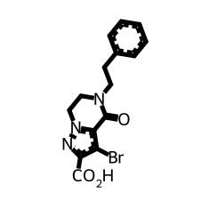 O=C(O)c1nn2c(c1Br)C(=O)N(CCc1ccccc1)CC2